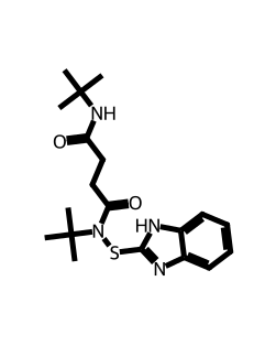 CC(C)(C)NC(=O)CCC(=O)N(Sc1nc2ccccc2[nH]1)C(C)(C)C